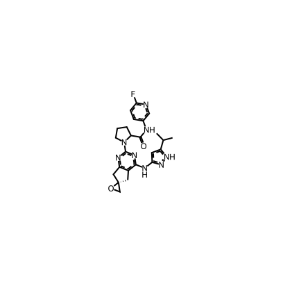 CC(C)c1cc(Nc2nc(N3CCCC3C(=O)Nc3ccc(F)nc3)nc3c2C[C@@]2(CO2)C3)n[nH]1